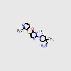 Cn1c(N2CCC(C)(CN)CC2)ncc(Sc2cccnc2C(F)(F)F)c1=O